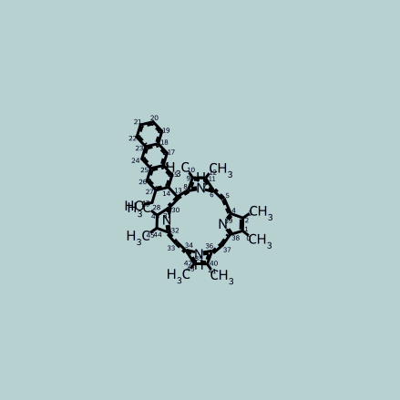 CC1=C(C)c2cc3[nH]c(c(C)c3C)c(-c3cc4cc5ccccc5cc4cc3CO)c3nc(cc4[nH]c(cc1n2)c(C)c4C)C(C)C3C